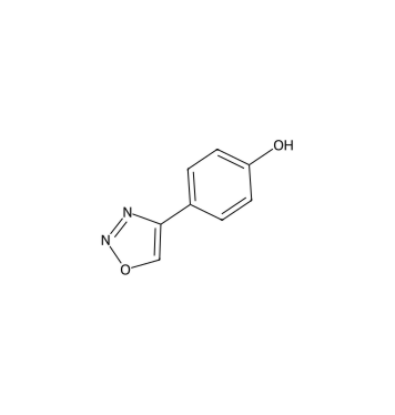 Oc1ccc(-c2conn2)cc1